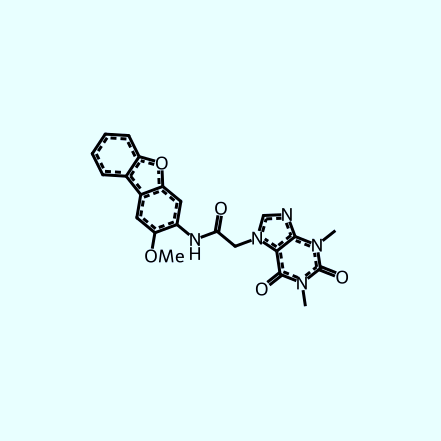 COc1cc2c(cc1NC(=O)Cn1cnc3c1c(=O)n(C)c(=O)n3C)oc1ccccc12